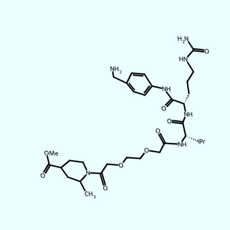 COC(=O)C1CCN(C(=O)COCCOCC(=O)N[C@H](C(=O)N[C@@H](CCCNC(N)=O)C(=O)Nc2ccc(CN)cc2)C(C)C)C(C)C1